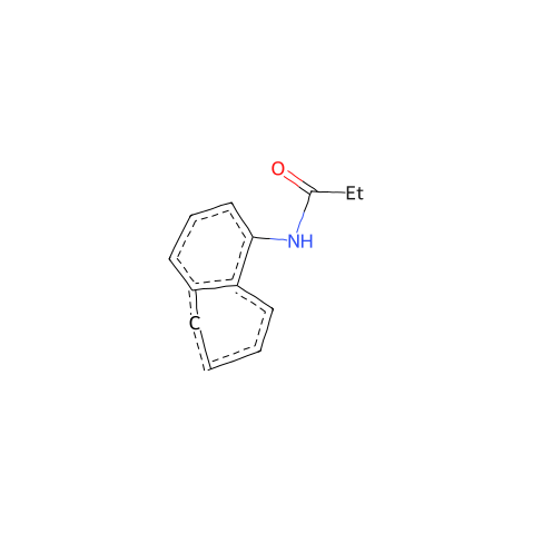 [CH2]CC(=O)Nc1cccc2ccccc12